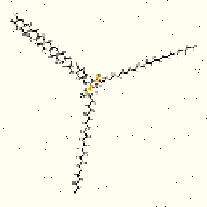 CCCCCCCCCCCCCCCCCCCCCCCCP(=S)(CCCCCCCCCCCCCCCCCCCCCCCC)NP(=S)(CCCCCCCCCCCCCCCCCCCCCCCC)C[C@H]([Zn])CCCCCCCCCCCCCCCCCCCCCC